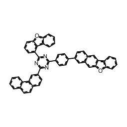 c1ccc2c(c1)ccc1ccc(-c3nc(-c4ccc(-c5ccc6cc7c(cc6c5)oc5ccccc57)cc4)nc(-c4cccc5oc6ccccc6c45)n3)cc12